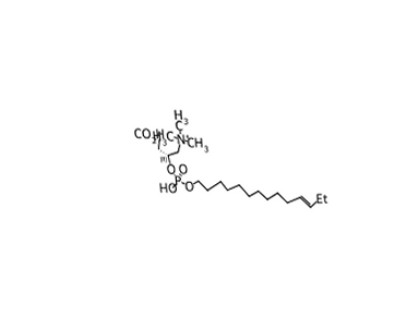 CCC=CCCCCCCCCCCOP(=O)(O)O[C@H](CC(=O)O)C[N+](C)(C)C